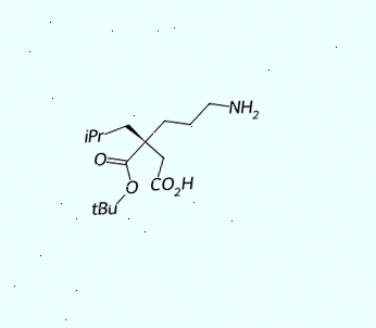 CC(C)C[C@@](CCCN)(CC(=O)O)C(=O)OC(C)(C)C